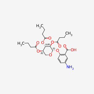 CCCC(=O)O[C@@H]1[C@@H](OC(=O)CCC)[C@H](Oc2ccc(N)cc2C(=O)O)OC[C@H]1OC(=O)CCC